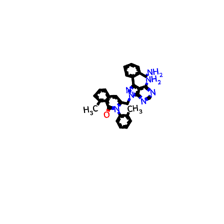 Cc1ccccc1-n1c(Cn2nc(-c3ccccc3CN)c3c(N)ncnc32)cc2cccc(C)c2c1=O